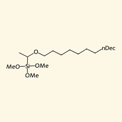 CCCCCCCCCCCCCCCCCOC(C)[Si](OC)(OC)OC